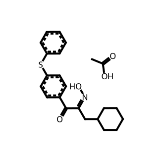 CC(=O)O.O=C(C(CC1CCCCC1)=NO)c1ccc(Sc2ccccc2)cc1